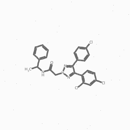 CC(NC(=O)Cn1nc(-c2ccc(Cl)cc2)c(-c2ccc(Cl)cc2Cl)n1)c1ccccc1